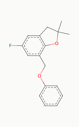 CC1(C)Cc2cc(F)cc(COc3c[c]ccc3)c2O1